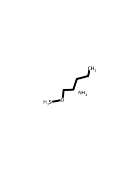 CCCCCO[SiH3].N